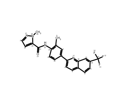 Cc1cc(-c2ccc3ccc(C(F)(F)F)cc3n2)ccc1NC(=O)c1ccnn1C